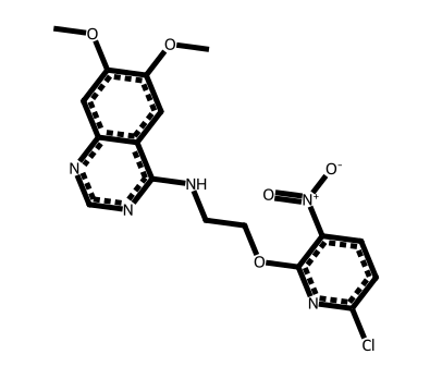 COc1cc2ncnc(NCCOc3nc(Cl)ccc3[N+](=O)[O-])c2cc1OC